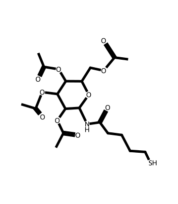 CC(=O)OCC1OC(NC(=O)CCCCS)C(OC(C)=O)C(OC(C)=O)C1OC(C)=O